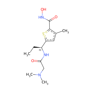 CC[C@H](NC(=O)CN(C)C)c1cc(C)c(C(=O)NO)s1